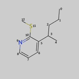 CCCC(C)c1cccnc1SC